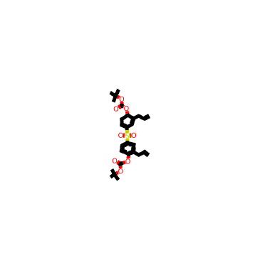 C=CCC1=CC(S(=O)(=O)c2ccc(OC(=O)OC(C)(C)C)c(CC=C)c2)=CCC1OC(=O)OC(C)(C)C